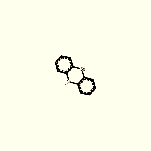 c1ccc2c(c1)[SiH2]c1ccccc1[Se]2